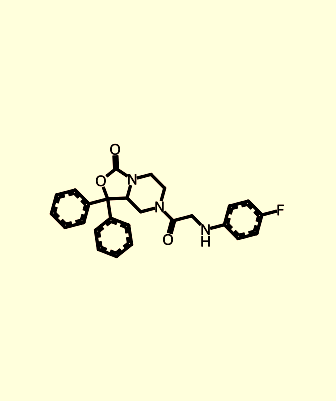 O=C(CNc1ccc(F)cc1)N1CCN2C(=O)OC(c3ccccc3)(c3ccccc3)C2C1